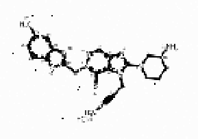 CC#CCn1c(N2CCCC(N)C2)nc2cnn(Cc3nc4cc(C)ccc4o3)c(=O)c21.Cl